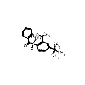 CC(C)c1cc(C(C)(C)C)ccc1P(=O)(O)C(=O)c1ccccc1